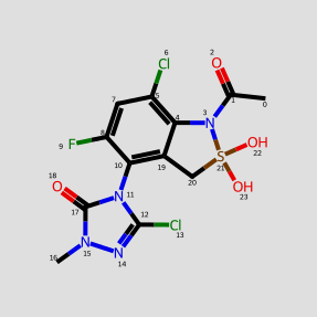 CC(=O)N1c2c(Cl)cc(F)c(-n3c(Cl)nn(C)c3=O)c2CS1(O)O